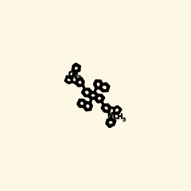 CC12CCCC1c1cc(-c3ccc4c(-c5cccc6ccccc56)c5cc(-c6ccc7c(c6)C6CCCC6(C)N7c6ccccc6)ccc5c(-c5cccc6ccccc56)c4c3)ccc1N2c1ccccc1